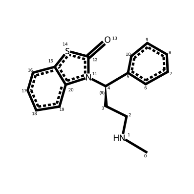 CNCC[C@H](c1ccccc1)n1c(=O)sc2ccccc21